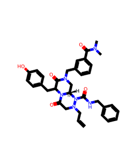 C=CCN1CC(=O)N2C(Cc3ccc(O)cc3)C(=O)N(Cc3cccc(C(=O)N(C)C)c3)C[C@@H]2N1C(=O)NCc1ccccc1